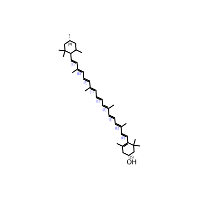 CC1=C(/C=C/C(C)=C/C=C/C(C)=C/C=C/C=C(C)/C=C/C=C(C)/C=C/C2C(C)C[C@@H](C)CC2(C)C)C(C)(C)C[C@H](O)C1